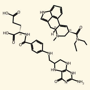 CCN(CC)C(=O)[C@@H]1C=C2c3cccc4[nH]cc(c34)C[C@H]2N(C)C1.Nc1nc(=O)c2c([nH]1)NCC(CNc1ccc(C(=O)N[C@@H](CCC(=O)O)C(=O)O)cc1)N2